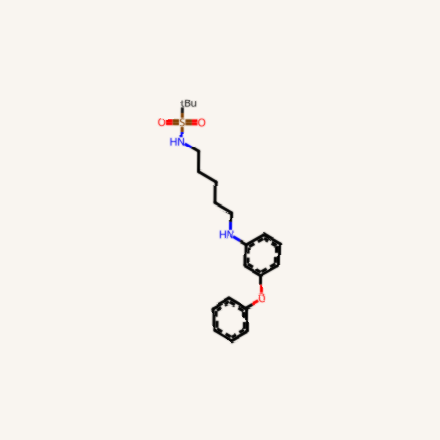 CC(C)(C)S(=O)(=O)NCCCCCNc1cccc(Oc2ccccc2)c1